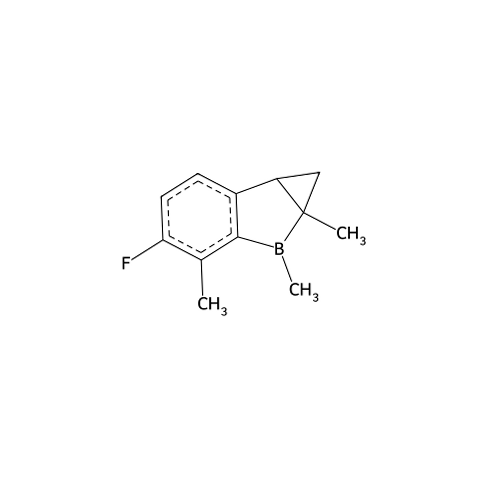 CB1c2c(ccc(F)c2C)C2CC12C